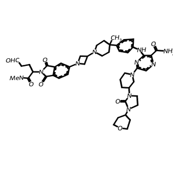 CNC(=O)C(CCC=O)N1C(=O)c2ccc(N3CC(N4CCC(C)(c5ccc(Nc6nc(N7CCCC(N8CCN(C9CCOCC9)C8=O)C7)cnc6C(N)=O)cc5)CC4)C3)cc2C1=O